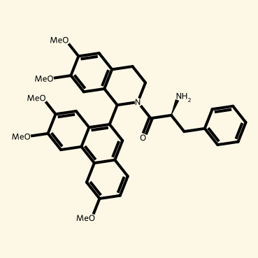 COc1ccc2cc(C3c4cc(OC)c(OC)cc4CCN3C(=O)[C@@H](N)Cc3ccccc3)c3cc(OC)c(OC)cc3c2c1